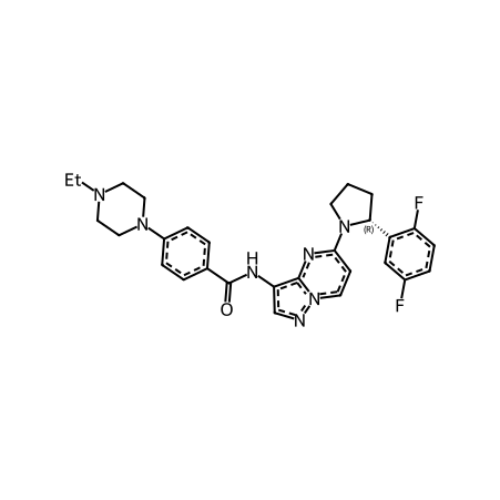 CCN1CCN(c2ccc(C(=O)Nc3cnn4ccc(N5CCC[C@@H]5c5cc(F)ccc5F)nc34)cc2)CC1